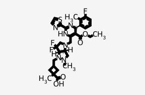 CCOC(=O)C1=C(CN2CC(F)(F)[C@@H]3[C@H]2CN(C)N3CC2CC(C)(C(=O)O)C2)NC(c2nccs2)=N[C@H]1c1cccc(F)c1C